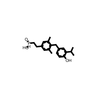 Cc1cc(CC[PH](=O)O)cc(C)c1Cc1ccc(O)c(C(C)C)c1